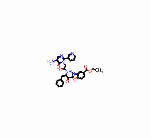 CCOC(=O)c1ccc2oc(C(=O)C(=Cc3ccccc3)NC(=O)Cn3c(-c4cccnc4)ncc(N)c3=O)nc2c1